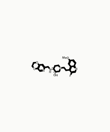 COc1ccc2ncc(F)c(CCN3CC[C@@H](NCc4cc5c(cn4)OCCO5)[C@@H](O)C3)c2c1